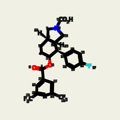 O=C(O[C@H]1CC[C@H]2CN(C(=O)O)C[C@H]2[C@@H]1c1ccc(F)cc1)c1cc(C(F)(F)F)cc(C(F)(F)F)c1